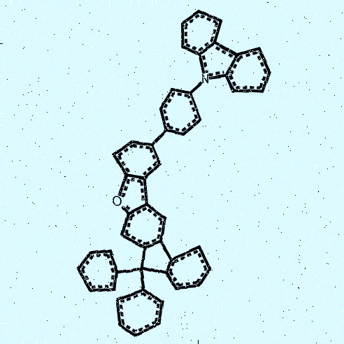 c1ccc(C2(c3ccccc3)c3ccccc3-c3cc4c(cc32)oc2ccc(-c3ccc(-n5c6ccccc6c6ccccc65)cc3)cc24)cc1